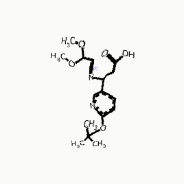 COC(/C=N/C(CC(=O)O)c1ccc(OC(C)(C)C)nc1)OC